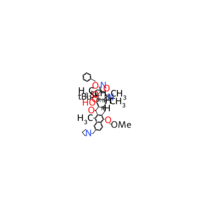 COCOc1c2c(c(C)c3cc(CN4CCC4)ccc13)C(=O)C1=C(O)[C@]3(O[Si](C)(C)C(C)(C)C)C(=O)c4c(OCc5ccccc5)noc4[C@@H](N(C)C)[C@@H]3C[C@@H]1C2